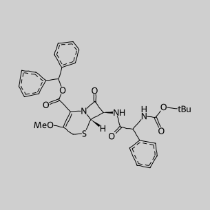 COC1=C(C(=O)OC(c2ccccc2)c2ccccc2)N2C(=O)[C@@H](NC(=O)C(NC(=O)OC(C)(C)C)c3ccccc3)[C@@H]2SC1